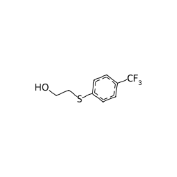 OCCSc1ccc(C(F)(F)F)cc1